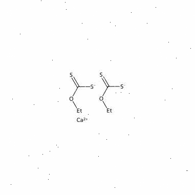 CCOC(=S)[S-].CCOC(=S)[S-].[Ca+2]